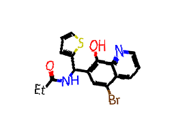 CCC(=O)NC(c1cccs1)c1cc(Br)c2cccnc2c1O